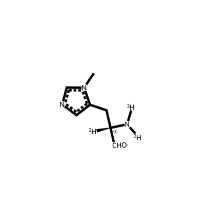 [2H]N([2H])[C@]([2H])([C]=O)Cc1cncn1C